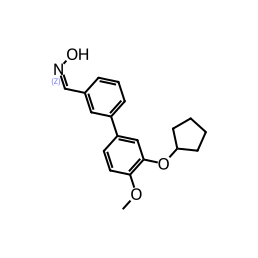 COc1ccc(-c2cccc(/C=N\O)c2)cc1OC1CCCC1